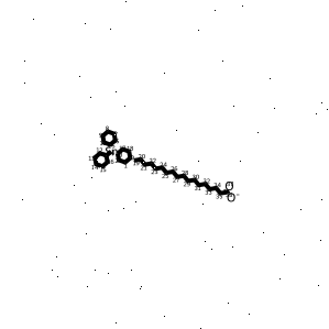 C1CC[CH]([Sn+]([CH]2CCCCC2)[CH]2CCCCC2)CC1.CCCCCCCCCCCCCCCCCC(=O)[O-]